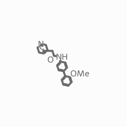 COc1ccccc1-c1ccc(NC(=O)CC2CN3CCC2CC3)cc1